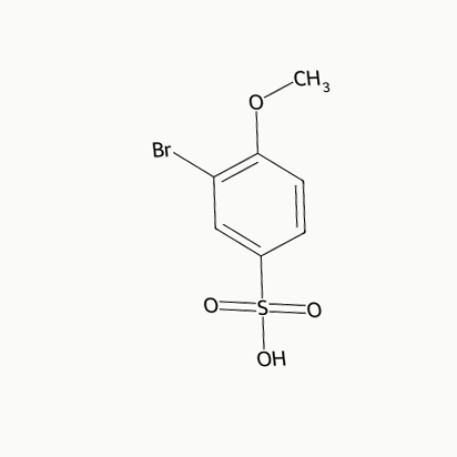 COc1ccc(S(=O)(=O)O)cc1Br